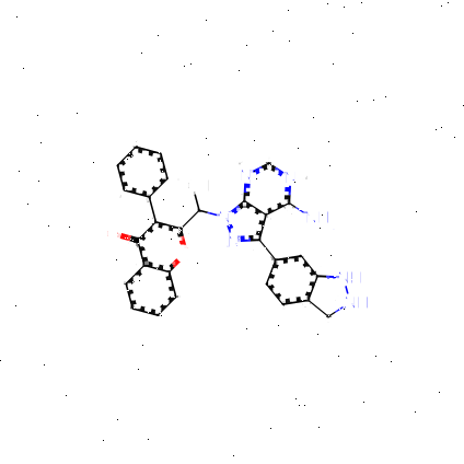 CC(c1oc2ccccc2c(=O)c1-c1ccccc1)n1nc(-c2ccc3c(c2)NNC3)c2c(N)ncnc21